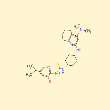 CC(C)c1ccc(NC(=S)N[C@H]2CC[C@@H](Nc3nc4c(c(N(C)C)n3)CCCC4)CC2)c(Br)c1